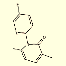 Cc1ccc(C)n(-c2ccc(F)cc2)c1=O